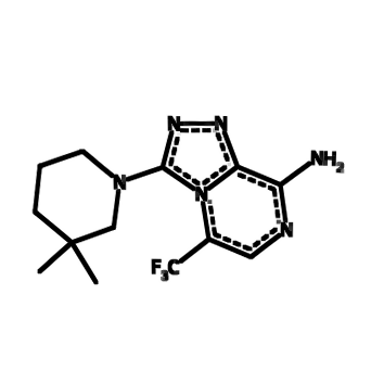 CC1(C)CCCN(c2nnc3c(N)ncc(C(F)(F)F)n23)C1